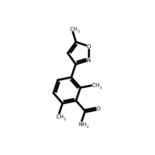 Cc1cc(-c2ccc(C)c(C(N)=O)c2C)no1